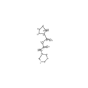 O=C(NC1CCCCC1)OC(=O)C1CCCN1